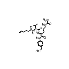 C=CCCCC(=O)N[C@H](C(=O)N[C@@H](CCCNC(N)=O)C(=O)Nc1ccc(CO)cc1)C(C)C